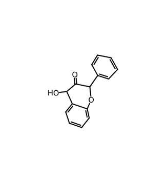 O=C1C(O)c2ccccc2OC1c1ccccc1